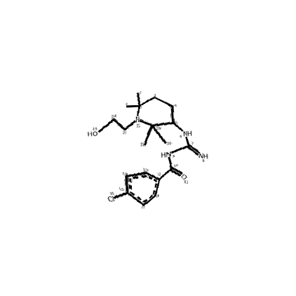 CC1(C)CCC(NC(=N)NC(=O)c2ccc(Cl)cc2)C(C)(C)N1CCO